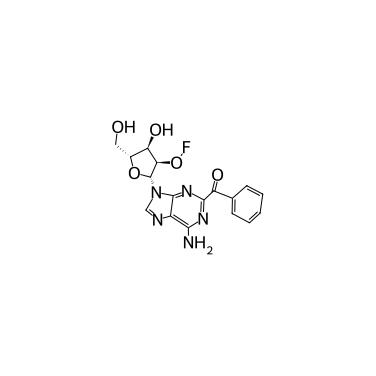 Nc1nc(C(=O)c2ccccc2)nc2c1ncn2[C@@H]1O[C@H](CO)[C@@H](O)[C@H]1OF